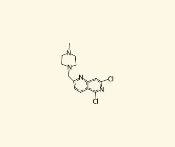 CN1CCN(Cc2ccc3c(Cl)nc(Cl)cc3n2)CC1